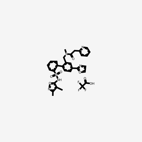 Cc1noc(NS(=O)(=O)c2ccccc2-c2ccc(-c3ncco3)cc2CN(C)C(=O)Cc2ccccn2)c1C.O=C(O)C(F)(F)F